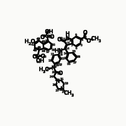 COC(=O)c1ccc2c(c1)NC(=O)/C2=C(\Nc1ccc(N(C)C(=O)CN2CCN(C)CC2)cc1)c1ccccc1.O.O=S(=O)(O)c1cccc2c(S(=O)(=O)O)cccc12